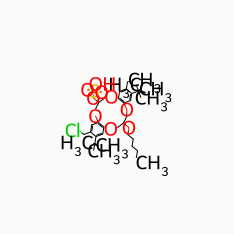 CCCCCCOC1COc2cc(C(C)(C)C)c(CC)cc2OCC(OS(=O)(=O)O)COc2cc(CCl)c(C(C)(C)C)cc2OC1